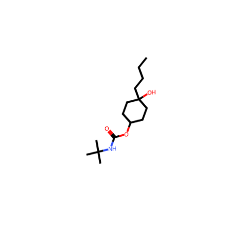 CCCCC1(O)CCC(OC(=O)NC(C)(C)C)CC1